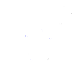 CC(C)C1CCCN1C(=O)c1cnc(C(C)(C)C)nc1NCc1ccco1.O=C(O)C(F)(F)F